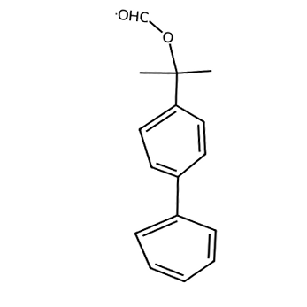 CC(C)(O[C]=O)c1ccc(-c2ccccc2)cc1